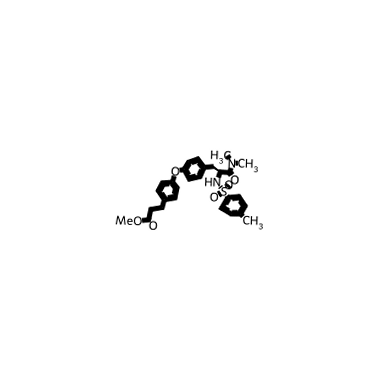 COC(=O)CCc1ccc(Oc2ccc(C[C@H](NS(=O)(=O)c3ccc(C)cc3)C(=O)N(C)C)cc2)cc1